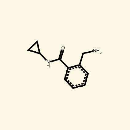 NCc1c[c]ccc1C(=O)NC1CC1